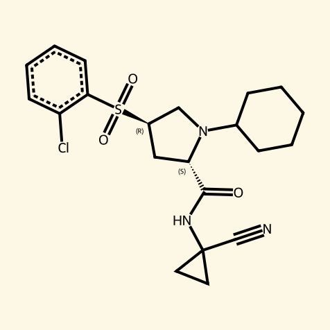 N#CC1(NC(=O)[C@@H]2C[C@@H](S(=O)(=O)c3ccccc3Cl)CN2C2CCCCC2)CC1